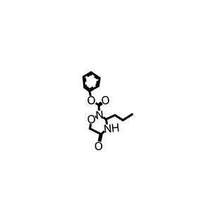 CCCC1NC(=O)CON1C(=O)Oc1ccccc1